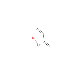 C=CC=C.CCO